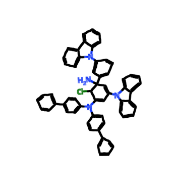 NC1(c2cccc(-n3c4ccccc4c4ccccc43)c2)C=C(n2c3ccccc3c3ccccc32)C=C(N(c2ccc(-c3ccccc3)cc2)c2ccc(-c3ccccc3)cc2)C1Cl